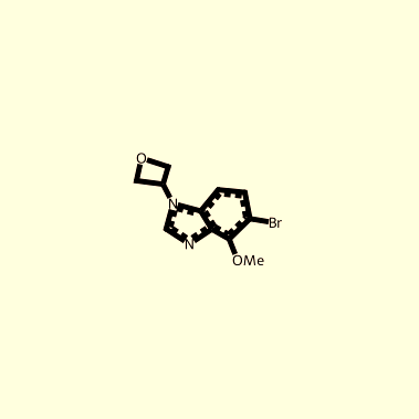 COc1c(Br)ccc2c1ncn2C1COC1